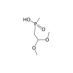 COC(CP(C)(=O)O)OC